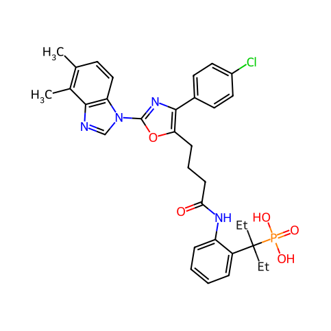 CCC(CC)(c1ccccc1NC(=O)CCCc1oc(-n2cnc3c(C)c(C)ccc32)nc1-c1ccc(Cl)cc1)P(=O)(O)O